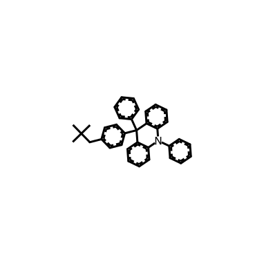 CC(C)(C)Cc1ccc(C2(c3ccccc3)c3ccccc3N(c3ccccc3)c3ccccc32)cc1